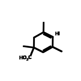 CC1=CC(C)(C(=O)O)CC(C)=C1.I